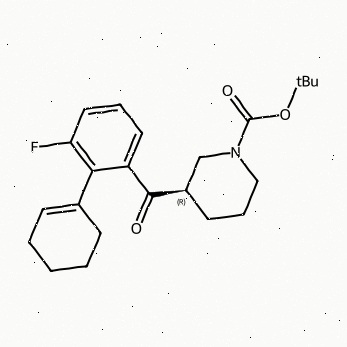 CC(C)(C)OC(=O)N1CCC[C@@H](C(=O)c2cccc(F)c2C2=CCCCC2)C1